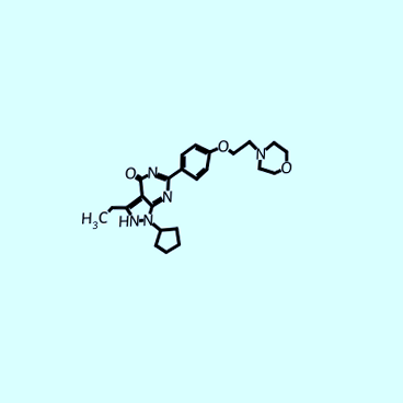 CCc1[nH]n(C2CCCC2)c2nc(-c3ccc(OCCN4CCOCC4)cc3)nc(=O)c1-2